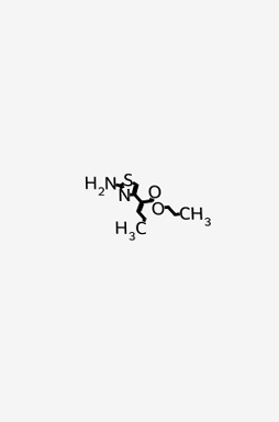 CCC=C(C(=O)OCCC)c1csc(N)n1